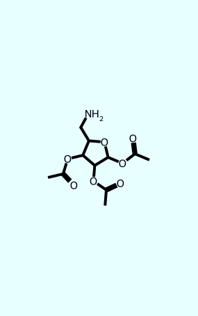 CC(=O)OC1OC(CN)C(OC(C)=O)C1OC(C)=O